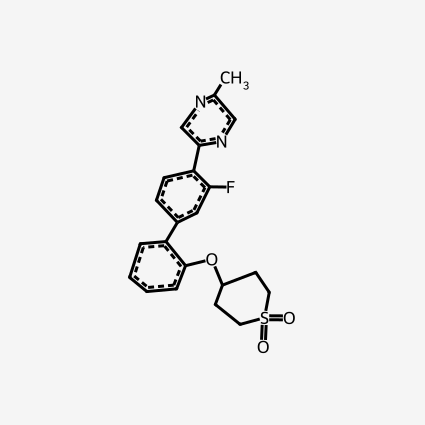 Cc1cnc(-c2ccc(-c3ccccc3OC3CCS(=O)(=O)CC3)cc2F)cn1